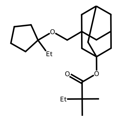 CCC1(OCC23CC4CC(C2)CC(OC(=O)C(C)(C)CC)(C4)C3)CCCC1